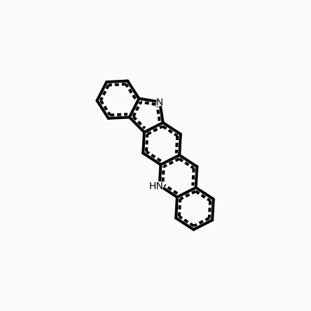 c1ccc2[nH]c3cc4c(cc3cc2c1)nc1ccccc14